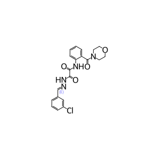 O=C(N/N=C/c1cccc(Cl)c1)C(=O)Nc1ccccc1C(=O)N1CCOCC1